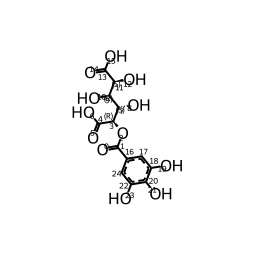 O=C(O[C@@H](C(=O)O)[C@@H](O)[C@@H](O)[C@H](O)C(=O)O)c1cc(O)c(O)c(O)c1